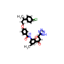 Cc1cc(NC(=O)c2ccc(OCCC(C)c3ccc(Cl)cc3)cc2)c2oc(-c3nnn[nH]3)cc(=O)c2c1